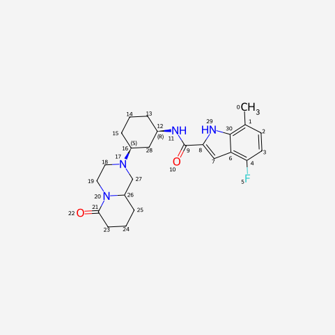 Cc1ccc(F)c2cc(C(=O)N[C@@H]3CCC[C@H](N4CCN5C(=O)CCCC5C4)C3)[nH]c12